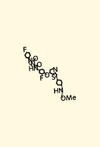 COCCNCc1ccc(-c2cc3nccc(Oc4ccc(NC(=O)N5CCN(c6ccc(F)cc6)C5=O)cc4F)c3s2)cc1